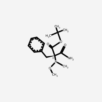 CON(C)[C@@](Cc1ccccc1)(C(N)=O)C(=O)OC(C)(C)C